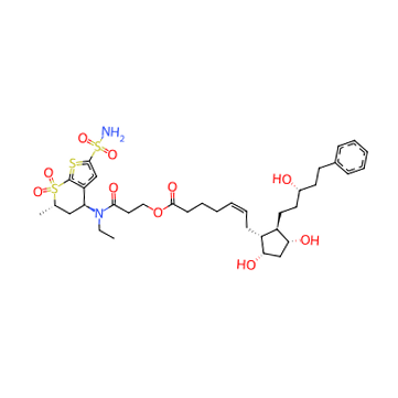 CCN(C(=O)CCOC(=O)CCC/C=C\C[C@@H]1[C@@H](CC[C@H](O)CCc2ccccc2)[C@H](O)C[C@@H]1O)[C@H]1C[C@H](C)S(=O)(=O)c2sc(S(N)(=O)=O)cc21